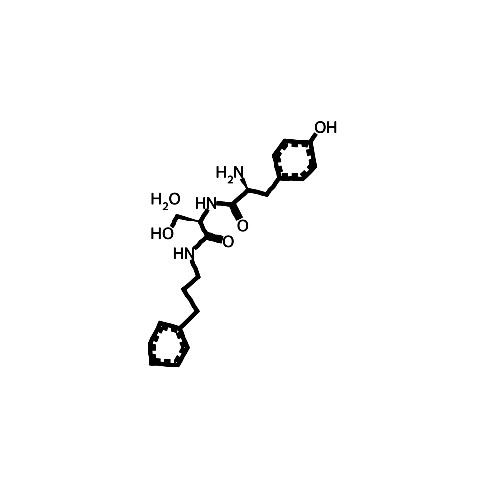 N[C@@H](Cc1ccc(O)cc1)C(=O)N[C@H](CO)C(=O)NCCCc1ccccc1.O